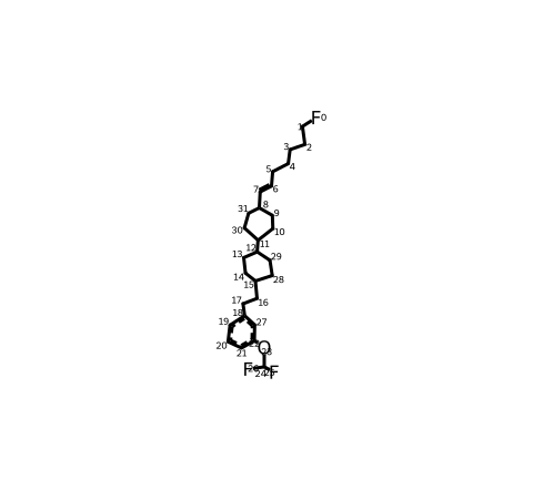 FCCCCCC=CC1CCC(C2CCC(CCc3cccc(OC(F)F)c3)CC2)CC1